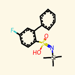 C[Si](C)(C)N=S(=O)(O)c1ccc(F)cc1-c1ccccc1